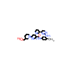 Cc1ccc(NC(=O)c2ccc(N3CCCC(CO)C3)nc2)cc1Nc1nccc(-c2cccnc2)n1